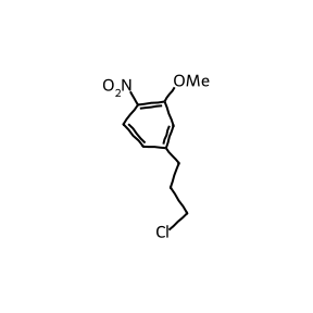 COc1cc(CCCCl)ccc1[N+](=O)[O-]